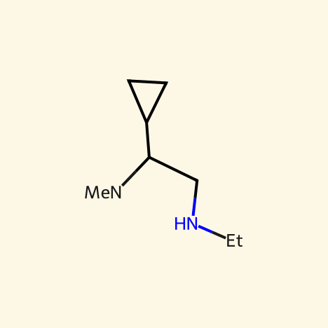 CCNCC(NC)C1CC1